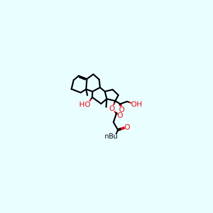 CCCCC(=O)CC(=O)OC1(C(=O)CO)CCC2C3CCC4=CCCCC4(C)C3C(O)CC21C